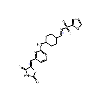 O=C1NC(=O)/C(=C/c2ccnc(NC3CCC(/C=N/S(=O)(=O)c4ccco4)CC3)n2)S1